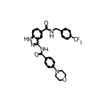 O=C(NCc1ccc(C(F)(F)F)cc1)c1ccc2[nH]nc(NC(=O)c3ccc(N4CCOCC4)cc3)c2c1